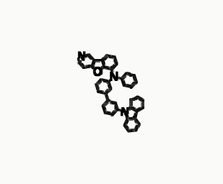 c1ccc(N(c2cccc(-c3cccc(-n4c5ccccc5c5ccccc54)c3)c2)c2cccc3c2oc2ccncc23)cc1